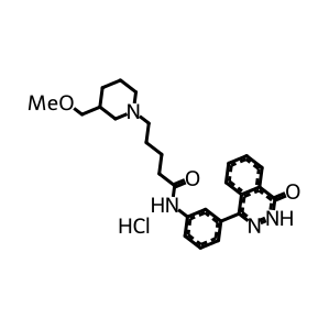 COCC1CCCN(CCCCC(=O)Nc2cccc(-c3n[nH]c(=O)c4ccccc34)c2)C1.Cl